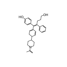 C=C(C)N1CCC(C2C=CC(/C(=C(/CCCO)c3ccccc3)c3ccc(O)cc3)=CC2)CC1